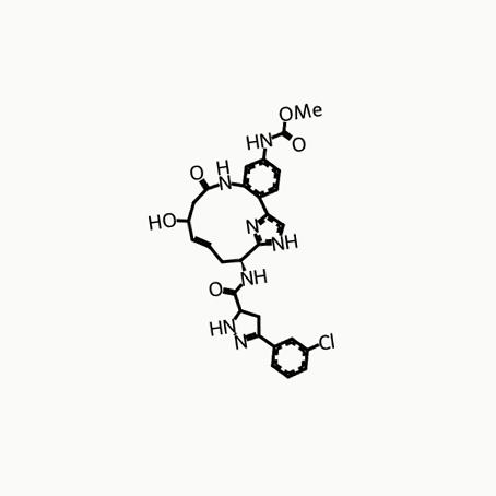 COC(=O)Nc1ccc2c(c1)NC(=O)CC(O)/C=C/C[C@H](NC(=O)C1CC(c3cccc(Cl)c3)=NN1)c1nc-2c[nH]1